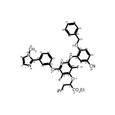 CCOC(=O)C(CC(C)C)Oc1c(F)c(Oc2cccc(-c3nccn3C)c2)nc(Oc2cc(C#N)ccc2OCc2ccccc2)c1F